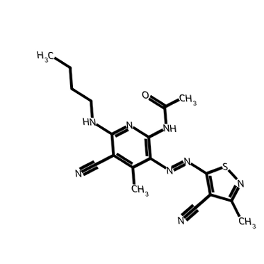 CCCCNc1nc(NC(C)=O)c(N=Nc2snc(C)c2C#N)c(C)c1C#N